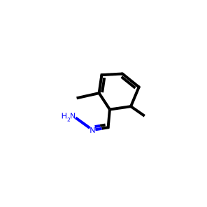 CC1=CC=CC(C)C1/C=N\N